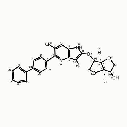 O[C@@H]1CO[C@H]2[C@@H]1OC[C@H]2Oc1[nH]c2cc(Cl)c(-c3ccc(-c4ccccc4)cc3)nc2c1F